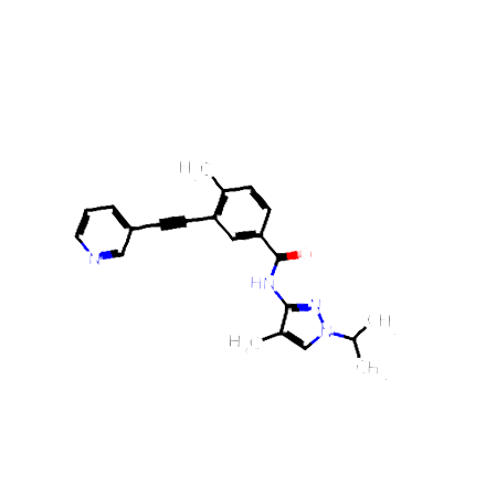 Cc1ccc(C(=O)Nc2nn(C(C)C)cc2C)cc1C#Cc1cccnc1